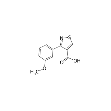 COc1cccc(-c2nscc2C(=O)O)c1